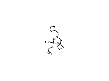 CCSC(C)(C)[S][Sn]([S]C1CCS1)[S]C1CCS1